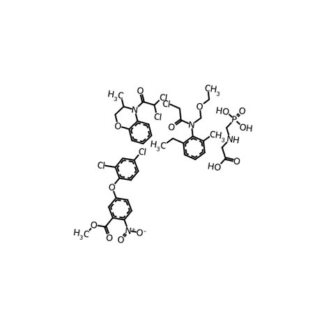 CC1COc2ccccc2N1C(=O)C(Cl)Cl.CCOCN(C(=O)CCl)c1c(C)cccc1CC.COC(=O)c1cc(Oc2ccc(Cl)cc2Cl)ccc1[N+](=O)[O-].O=C(O)CNCP(=O)(O)O